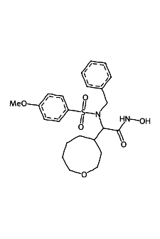 COc1ccc(S(=O)(=O)N(Cc2ccccc2)C(C(=O)NO)C2CCCCOCC2)cc1